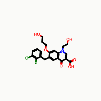 O=C(O)c1cn(CCO)c2cc(OCCCO)c(Cc3cccc(Cl)c3F)cc2c1=O